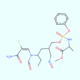 CCC(CC(CN=O)COP(=O)(NC(C)C(=O)OC)Oc1ccccc1)N(C=O)/C=C(/F)C(N)=O